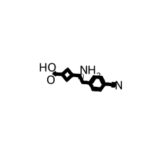 N#Cc1ccc(C[C@H](N)C2CC(C(=O)O)C2)cc1